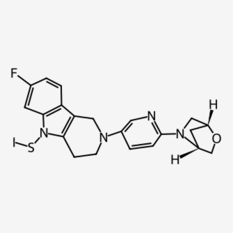 Fc1ccc2c3c(n(SI)c2c1)CCN(c1ccc(N2C[C@H]4C[C@@H]2CO4)nc1)C3